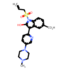 C=CCS(=O)(=O)n1c(O)c(-c2ccc(N3CCN(C)CC3)cn2)c2cc(C(=O)O)ccc21